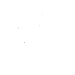 CCC(=O)c1ccc2[nH]c(CC(O)(CC(C)(C)c3cc(Cl)cc4c3OCC4)C(F)(F)F)cc2n1